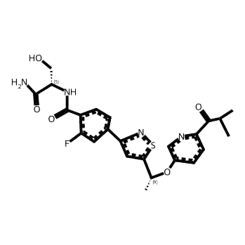 CC(C)C(=O)c1ccc(O[C@H](C)c2cc(-c3ccc(C(=O)N[C@@H](CO)C(N)=O)c(F)c3)ns2)cn1